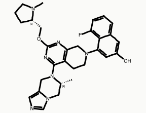 C[C@@H]1Cn2cncc2CN1c1nc(OC[C@@H]2CCCN2C)nc2c1CCN(c1cc(O)cc3cccc(F)c13)C2